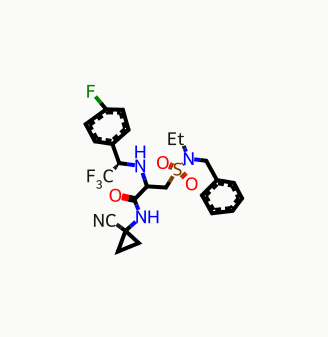 CCN(Cc1ccccc1)S(=O)(=O)CC(N[C@H](c1ccc(F)cc1)C(F)(F)F)C(=O)NC1(C#N)CC1